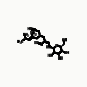 C#CCN(C/C(N)=C/N(C)N)C/C(=C/N[C@H]1O[C@H](CO)[C@@H](O)[C@H](O)C1O)N=N